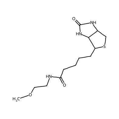 COCCNC(=O)CCCCC1SCC2NC(=O)NC21